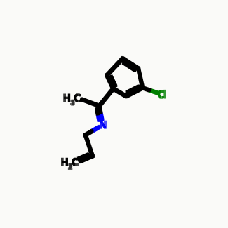 C=CCN=C(C)c1cccc(Cl)c1